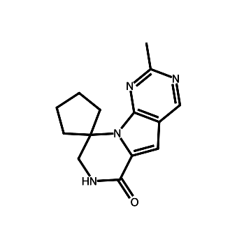 Cc1ncc2cc3n(c2n1)C1(CCCC1)CNC3=O